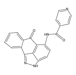 O=C(Nc1ccc2[nH]nc3c2c1C(=O)c1ccccc1-3)c1ccncc1